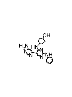 Nc1cc(-c2cnc(Nc3ccccc3)nc2NC2CCC(O)CC2)ncn1